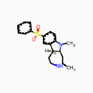 CC1CC2[C@H](CCN1)c1cc(S(=O)(=O)c3ccccc3)ccc1N2C